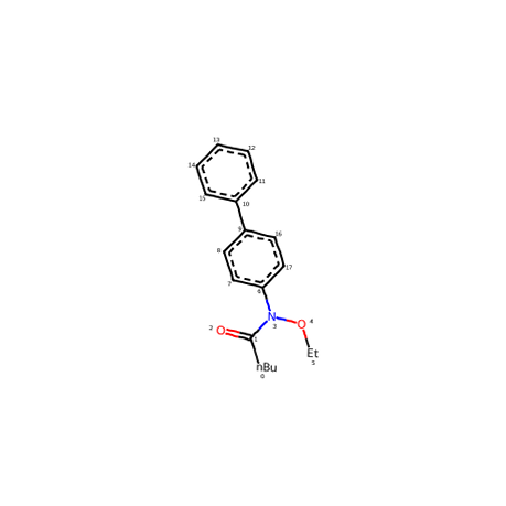 CCCCC(=O)N(OCC)c1ccc(-c2ccccc2)cc1